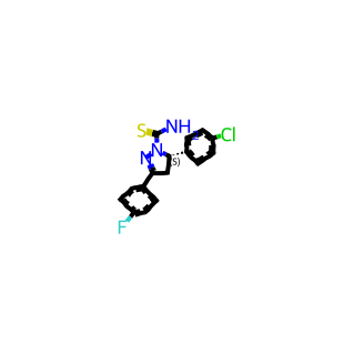 NC(=S)N1N=C(c2ccc(F)cc2)C[C@H]1c1ccc(Cl)cc1